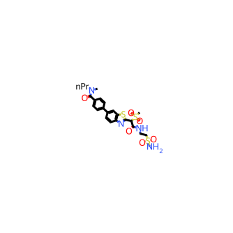 CCCN(C)C(=O)c1ccc(-c2ccc3nc(C(C(=O)NCCS(N)(=O)=O)S(C)(=O)=O)sc3c2)cc1